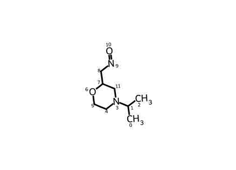 CC(C)N1CCOC(CN=O)C1